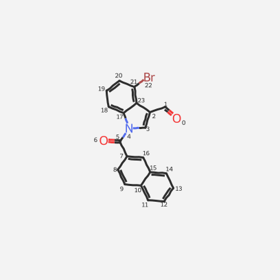 O=Cc1cn(C(=O)c2ccc3ccccc3c2)c2cccc(Br)c12